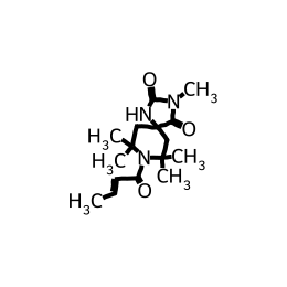 C/C=C/C(=O)N1C(C)(C)CC2(CC1(C)C)NC(=O)N(C)C2=O